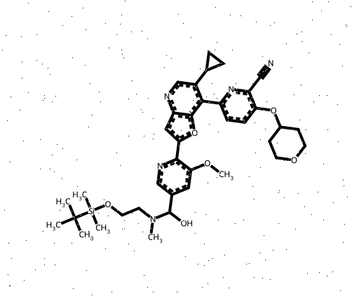 COc1cc(C(O)N(C)CCO[Si](C)(C)C(C)(C)C)cnc1-c1cc2ncc(C3CC3)c(-c3ccc(OC4CCOCC4)c(C#N)n3)c2o1